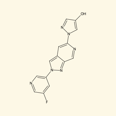 Oc1cnn(-c2cc3cn(-c4cncc(F)c4)nc3cn2)c1